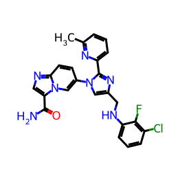 Cc1cccc(-c2nc(CNc3cccc(Cl)c3F)cn2-c2ccc3ncc(C(N)=O)n3c2)n1